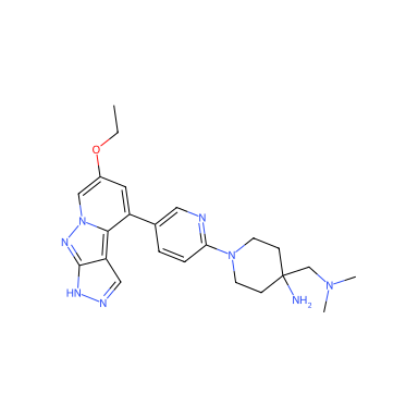 CCOc1cc(-c2ccc(N3CCC(N)(CN(C)C)CC3)nc2)c2c3cn[nH]c3nn2c1